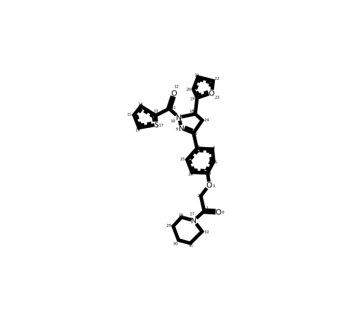 O=C(COc1ccc(C2=NN(C(=O)c3cccs3)C(c3ccco3)C2)cc1)N1CCCCC1